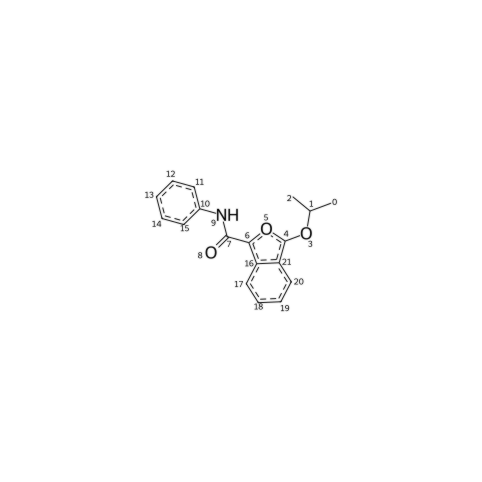 CC(C)Oc1oc(C(=O)Nc2ccccc2)c2ccccc12